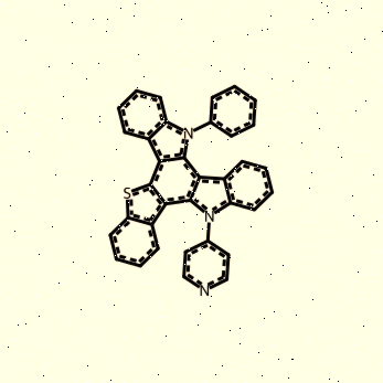 c1ccc(-n2c3ccccc3c3c4sc5ccccc5c4c4c(c5ccccc5n4-c4ccncc4)c32)cc1